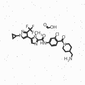 Cn1c(-c2cn(C3CC3)nc2C(F)(F)F)cnc1C(=O)Nc1ccc(C(=O)N2CCC(CN)CC2)c(Cl)c1.O=CO